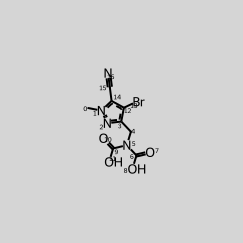 Cn1nc(CN(C(=O)O)C(=O)O)c(Br)c1C#N